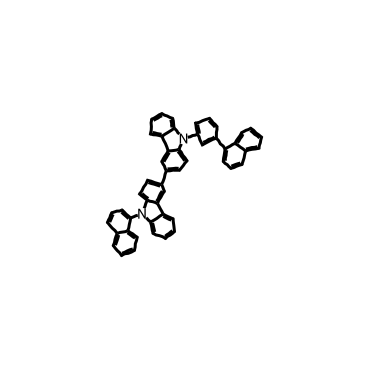 c1cc(-c2cccc3ccccc23)cc(-n2c3ccccc3c3cc(-c4ccc5c(c4)c4ccccc4n5-c4cccc5ccccc45)ccc32)c1